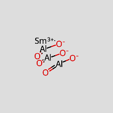 [O]=[Al][O-].[O]=[Al][O-].[O]=[Al][O-].[Sm+3]